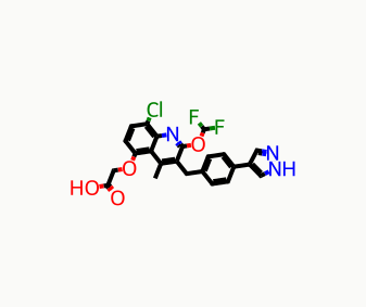 Cc1c(Cc2ccc(-c3cn[nH]c3)cc2)c(OC(F)F)nc2c(Cl)ccc(OCC(=O)O)c12